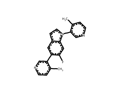 Cc1ccncc1-c1cc2ccn(-c3cnccc3C)c2cc1F